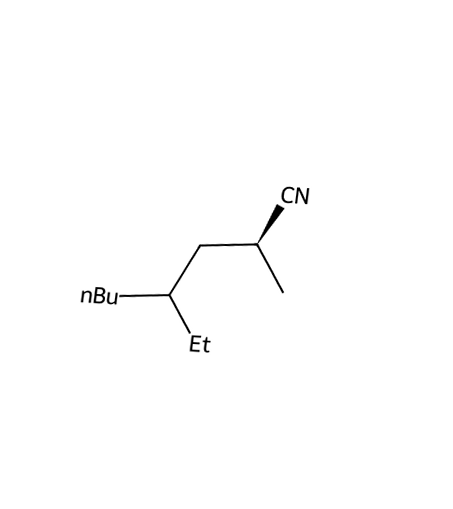 CCCCC(CC)C[C@H](C)C#N